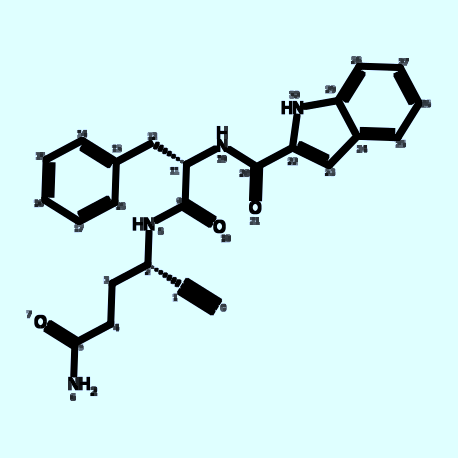 C#C[C@H](CCC(N)=O)NC(=O)[C@H](Cc1ccccc1)NC(=O)c1cc2ccccc2[nH]1